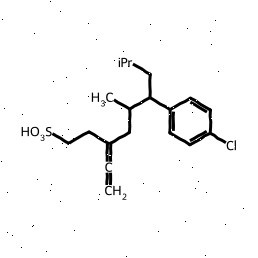 C=C=C(CCS(=O)(=O)O)CC(C)C(CC(C)C)c1ccc(Cl)cc1